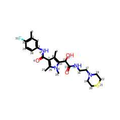 Cc1cc(NC(=O)c2c(C)c(C(O)C(=O)NCCN3CCSCC3)n(C)c2C)ccc1F